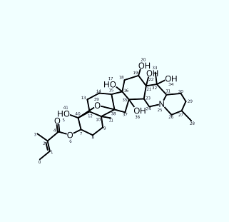 CC=C(C)C(=O)OC1CCC2(C)C3CCC4C5(O)CC(O)C6(O)C(CN7CC(C)CCC7C6(C)O)C5(O)CC42OC13O